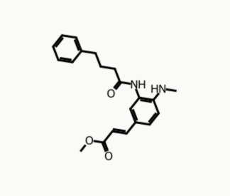 CNc1ccc(C=CC(=O)OC)cc1NC(=O)CCCc1ccccc1